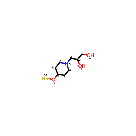 OCC(O)CN1CCC(OS)CC1